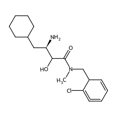 CN(CC1C=CC=C=C1Cl)C(=O)C(O)[C@H](N)CC1CCCCC1